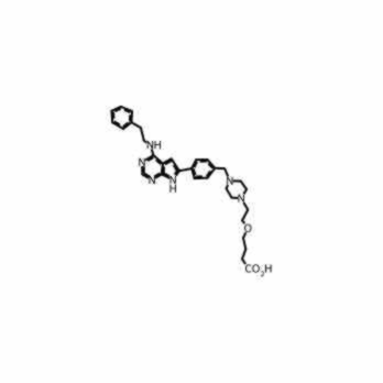 O=C(O)CCCOCCN1CCN(Cc2ccc(-c3cc4c(NCCc5ccccc5)ncnc4[nH]3)cc2)CC1